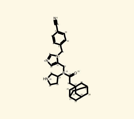 N#Cc1ccc(Cn2cncc2CN(C(=O)CC23CC4CC(CC(C4)C2)C3)C2CCNC2)cc1